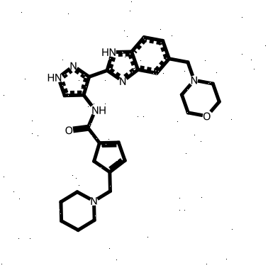 O=C(Nc1c[nH]nc1-c1nc2cc(CN3CCOCC3)ccc2[nH]1)C1=CC=C(CN2CCCCC2)C1